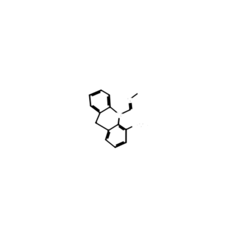 CN=CN1c2ccccc2Cc2cccc(OC)c21